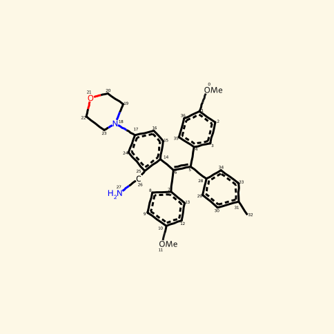 COc1ccc(/C(=C(/c2ccc(OC)cc2)c2ccc(N3CCOCC3)cc2CN)c2ccc(C)cc2)cc1